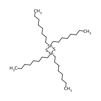 CCCCCCC[CH2][Sn]1([CH2]CCCCCCC)[S][Sn]([CH2]CCCCCCC)([CH2]CCCCCCC)[S]1